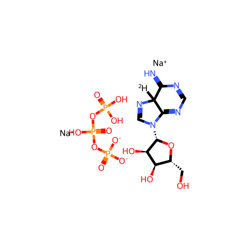 O=P([O-])([O-])OP(=O)(O)OP(=O)(O)O.[2H]C12N=CN([C@@H]3O[C@H](CO)[C@@H](O)[C@H]3O)C1=NC=NC2=N.[Na+].[Na+]